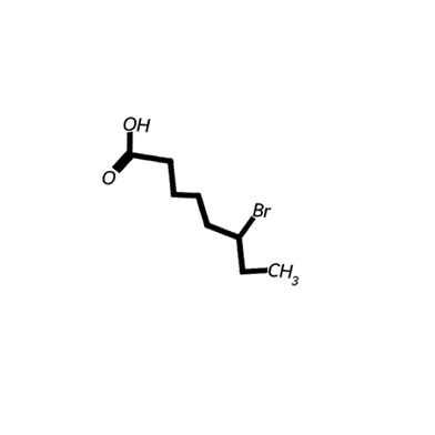 CCC(Br)CCCCC(=O)O